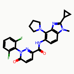 Cn1c(C2CC2)nc2c(N3CCCC3)c(NC(=O)c3ccc(=O)n(-c4c(F)cccc4F)n3)ccc21